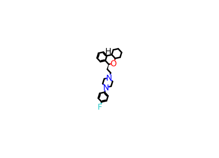 Fc1ccc(N2CCN(CC[C@@H]3OC4CCCC[C@@H]4c4ccccc43)CC2)cc1